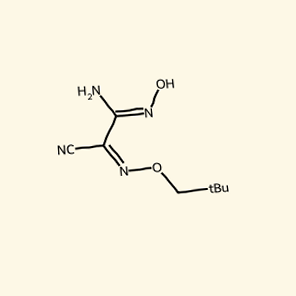 CC(C)(C)CON=C(C#N)C(N)=NO